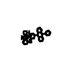 Cc1nc2cccc3c2n1-c1ccc(-c2c4ccccc4c(-c4ccccc4)c4ccccc24)cc1S3